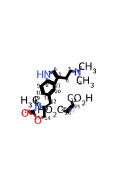 CN(C)CCc1c[nH]c2ccc(C[C@H]3COC(=O)N3C)cc12.O=C(O)/C=C\C(=O)O